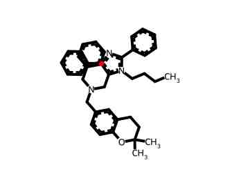 CCCCn1c(-c2ccccc2)nc(-c2ccccc2)c1CN(Cc1ccccc1)Cc1ccc2c(c1)CCC(C)(C)O2